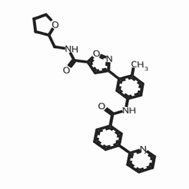 Cc1ccc(NC(=O)c2cccc(-c3ccccn3)c2)cc1-c1cc(C(=O)NCC2CCCO2)on1